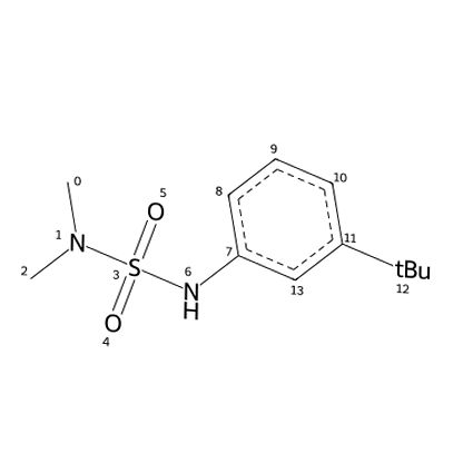 CN(C)S(=O)(=O)Nc1cccc(C(C)(C)C)c1